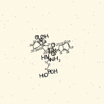 NC(CCCB(O)O)NC(=O)C1(C(=O)NC2Cc3ccccc3C2)CCCC1.O=S(=O)(O)c1ccccc1